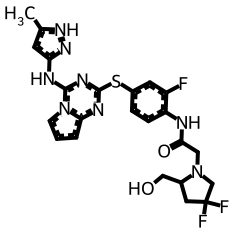 Cc1cc(Nc2nc(Sc3ccc(NC(=O)CN4CC(F)(F)CC4CO)c(F)c3)nc3cccn23)n[nH]1